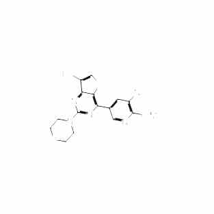 COc1ncc(-c2nc(N3CCOCC3)nc3c(Br)csc23)cc1N